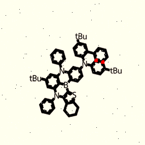 CC(C)(C)c1ccc(N(c2ccc3c(c2)N(c2ccccc2)c2cc(C(C)(C)C)cc4c2B3c2sc3c(c2N4c2ccccc2)CCCC3)c2ccc(C(C)(C)C)cc2-c2ccccc2)cc1